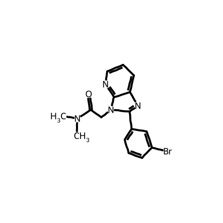 CN(C)C(=O)Cn1c(-c2cccc(Br)c2)nc2cccnc21